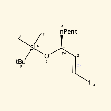 CCCCC[C@@H](/C=C/I)O[Si](C)(C)C(C)(C)C